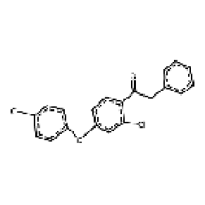 O=C(Cc1ccccc1)c1ccc(Oc2ccc(Cl)cc2)cc1Cl